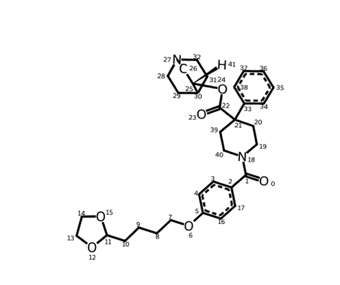 O=C(c1ccc(OCCCCC2OCCO2)cc1)N1CCC(C(=O)O[C@H]2CN3CCC2CC3)(c2ccccc2)CC1